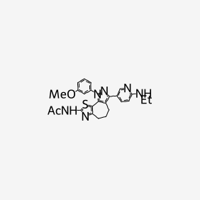 CCNc1ccc(-c2nn(-c3cccc(OC)c3)c3c2CCCc2nc(NC(C)=O)sc2-3)cn1